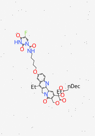 CCCCCCCCCCCC(=O)O[C@]1(CC)C(=O)OCc2c1cc1n(c2=O)Cc2c-1nc1ccc(OCCCCCNC(=O)n3cc(F)c(=O)[nH]c3=O)cc1c2CC